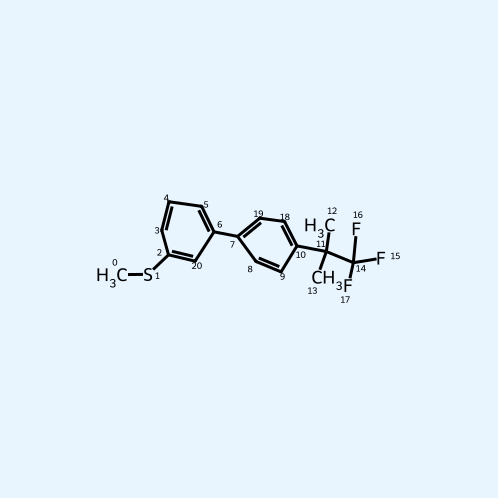 CSc1cccc(-c2ccc(C(C)(C)C(F)(F)F)cc2)c1